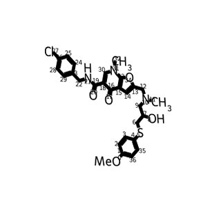 COc1ccc(SCC(O)CN(C)Cc2cc3c(=O)c(C(=O)NCc4ccc(Cl)cc4)cn(C)c3o2)cc1